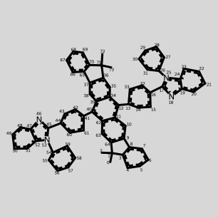 CC1(C)c2ccccc2-c2cc3c(-c4ccc(-c5nc6ccccc6n5-c5ccccc5)cc4)c4cc5c(cc4c(-c4ccc(-c6nc7ccccc7n6-c6ccccc6)cc4)c3cc21)-c1ccccc1C5(C)C